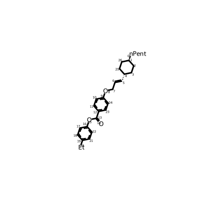 CCCCC[C@H]1CC[C@H](C=CCOc2ccc(C(=O)Oc3ccc(CC)cc3)cc2)CC1